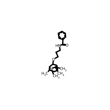 CN1C2(C)CCC(C(OCCCNC(=O)c3ccccc3)C2)C1(C)C